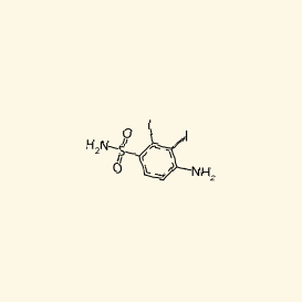 Nc1ccc(S(N)(=O)=O)c(I)c1I